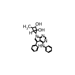 CC1[C@H](O)C2(O)[C@@H]1[C@H]2n1cc(-c2ccccc2)c2c(Nc3ccccc3)ncnc21